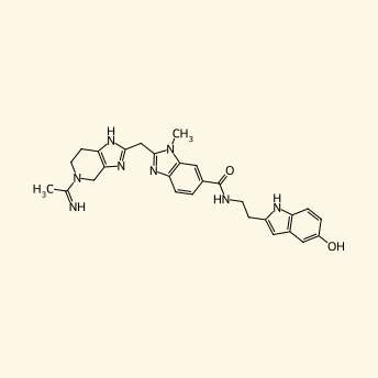 CC(=N)N1CCc2[nH]c(Cc3nc4ccc(C(=O)NCCc5cc6cc(O)ccc6[nH]5)cc4n3C)nc2C1